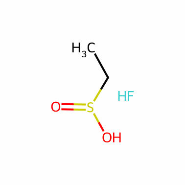 CCS(=O)O.F